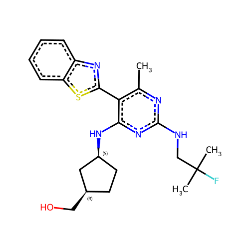 Cc1nc(NCC(C)(C)F)nc(N[C@H]2CC[C@@H](CO)C2)c1-c1nc2ccccc2s1